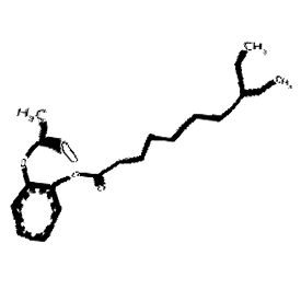 CCC(CC)CCCCCCC(=O)Oc1ccccc1OC(C)=O